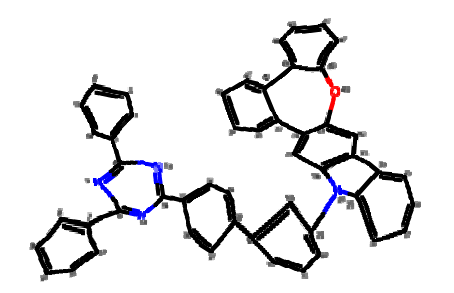 c1ccc(-c2nc(-c3ccccc3)nc(-c3ccc(-c4cccc(-n5c6ccccc6c6cc7c(cc65)-c5ccccc5-c5ccccc5O7)c4)cc3)n2)cc1